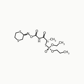 CCCOP(=O)(OCC)S[C@@H](C)C(=O)NC(=O)ON=C1CSCCS1